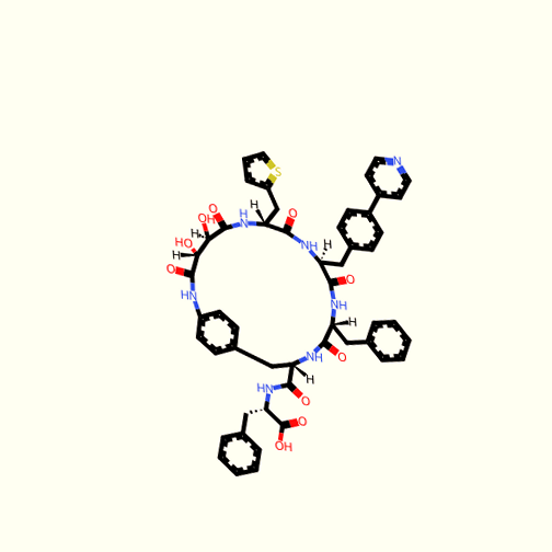 O=C(O)[C@H](Cc1ccccc1)NC(=O)[C@@H]1Cc2ccc(cc2)NC(=O)[C@H](O)[C@@H](O)C(=O)N[C@H](Cc2cccs2)C(=O)N[C@@H](Cc2ccc(-c3ccncc3)cc2)C(=O)N[C@H](Cc2ccccc2)C(=O)N1